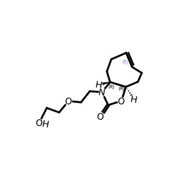 O=C1O[C@@H]2CC/C=C/CC[C@H]2N1CCOCCO